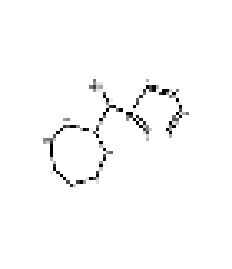 OC(c1ccccc1)C1CCCCCC1